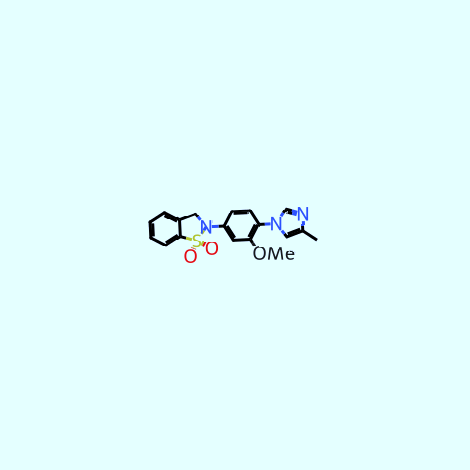 COc1cc(N2Cc3ccccc3S2(=O)=O)ccc1-n1cnc(C)c1